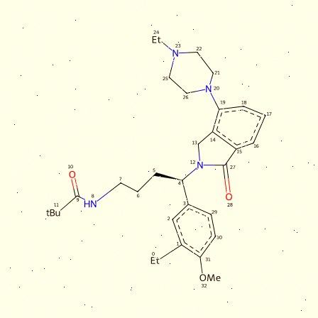 CCc1cc([C@@H](CCCNC(=O)C(C)(C)C)N2Cc3c(cccc3N3CCN(CC)CC3)C2=O)ccc1OC